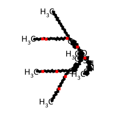 CCCCCCCCCCCCCCCCCCCCC(CCCCCCCCCCCCCCCCCC)COc1ccc2cc(CCCN3C(=O)C4=C(c5ccc(-c6cnc(-c7ncc(-c8ccc(C)s8)s7)s6)s5)N(CCCc5ccc6cc(OCC(CCCCCCCCCCCCCCCCCC)CCCCCCCCCCCCCCCCCCCC)ccc6c5)C(=O)C4=C3C)ccc2c1